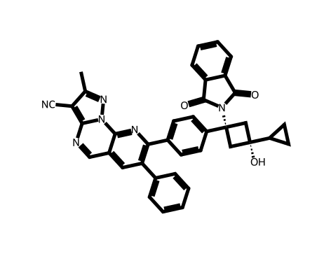 Cc1nn2c(ncc3cc(-c4ccccc4)c(-c4ccc([C@]5(N6C(=O)c7ccccc7C6=O)C[C@](O)(C6CC6)C5)cc4)nc32)c1C#N